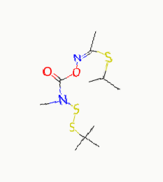 CC(=NOC(=O)N(C)SSC(C)(C)C)SC(C)C